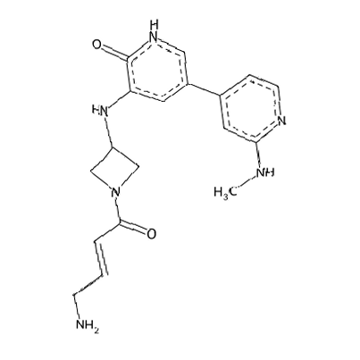 CNc1cc(-c2c[nH]c(=O)c(NC3CN(C(=O)C=CCN)C3)c2)ccn1